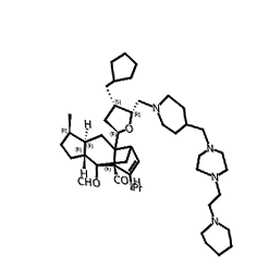 CC(C)C1=CC2CC3(C=O)[C@@H]4CC[C@@H](C)[C@H]4CC2([C@H]2C[C@H](CC4CCCC4)[C@H](CN4CCC(CN5CCN(CCN6CCCCC6)CC5)CC4)O2)[C@]13C(=O)O